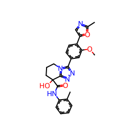 COc1cc(-c2nnc3n2CCCC3(O)C(=O)Nc2ccccc2C)ccc1-c1cnc(C)o1